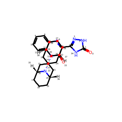 O=c1[nH]nc(-c2nc3ccccc3n([C@H]3C[C@H]4CCC[C@@H](C3)N4[C@H]3C[C@@H]4CCC[C@@H](C4)C3)c2=O)[nH]1